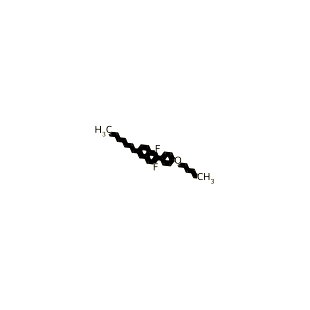 CCCCCCCCc1ccc2c(F)c(-c3ccc(OCCCCCC)cc3)c(F)cc2c1